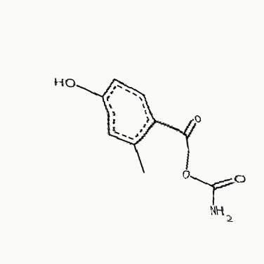 Cc1cc(O)ccc1C(=O)OC(N)=O